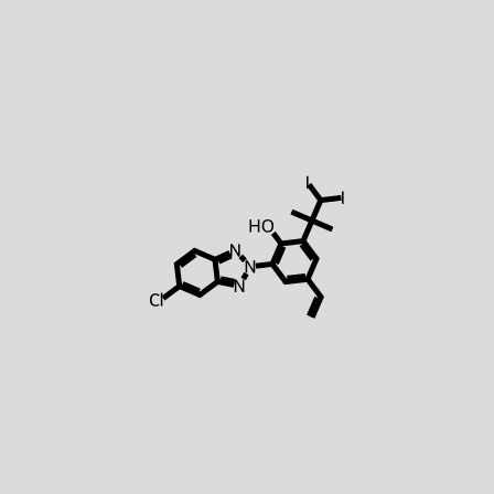 C=Cc1cc(-n2nc3ccc(Cl)cc3n2)c(O)c(C(C)(C)C(I)I)c1